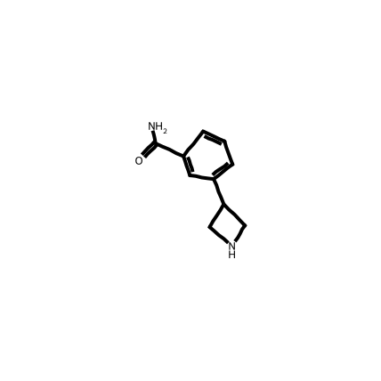 NC(=O)c1cccc(C2CNC2)c1